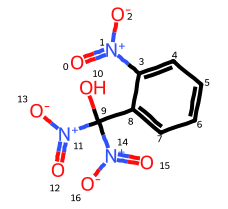 O=[N+]([O-])c1ccccc1C(O)([N+](=O)[O-])[N+](=O)[O-]